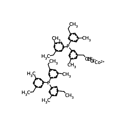 CCc1cc(C)cc(P(c2cc(C)cc(CC)c2)c2cc(C)cc(CC)c2)c1.CCc1cc(C)cc(P(c2cc(C)cc(CC)c2)c2cc(C)cc(CC)c2)c1.[Cl-].[Cl-].[Co+2]